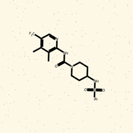 Cc1c(C(F)(F)F)cnc(NC(=O)N2CCC(NS(=O)(=O)C(C)C)CC2)c1C